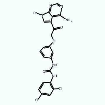 CC(C)n1cc(C(=O)COc2cccc(NC(=O)Nc3ccc(Cl)cc3Cl)c2)c2c(N)ncnc21